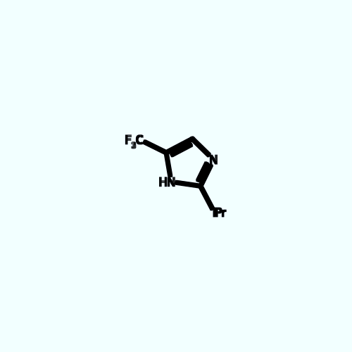 CC(C)c1ncc(C(F)(F)F)[nH]1